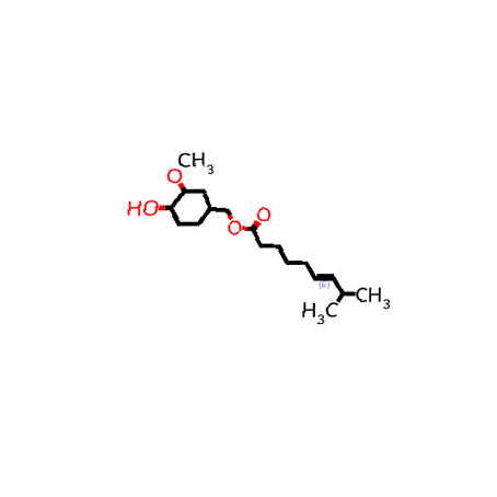 COC1CC(COC(=O)CCCC/C=C/C(C)C)CCC1O